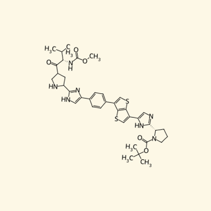 COC(=O)N[C@H](C(=O)C1CNC(c2nc(-c3ccc(-c4csc5c(-c6cnc([C@@H]7CCCN7C(=O)OC(C)(C)C)[nH]6)csc45)cc3)c[nH]2)C1)C(C)C